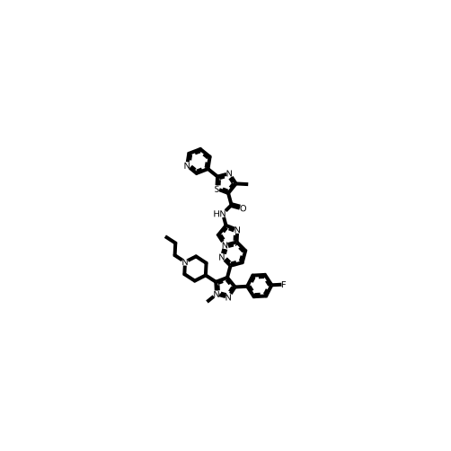 CCCN1CCC(c2c(-c3ccc4nc(NC(=O)c5sc(-c6cccnc6)nc5C)cn4n3)c(-c3ccc(F)cc3)nn2C)CC1